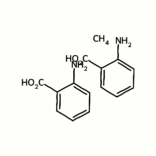 C.Nc1ccccc1C(=O)O.Nc1ccccc1C(=O)O